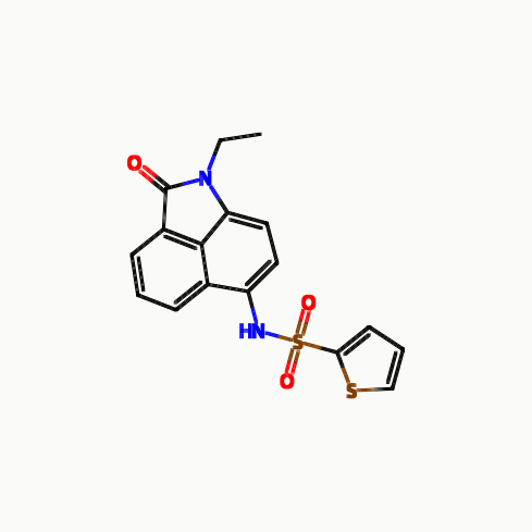 CCN1C(=O)c2cccc3c(NS(=O)(=O)c4cccs4)ccc1c23